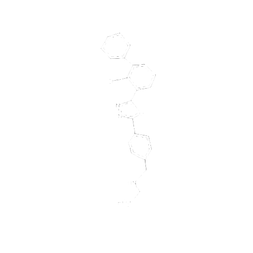 O=C(O)CNCc1ccc(-c2nnc(-c3cccc(-c4ccccc4)c3Cl)o2)cc1